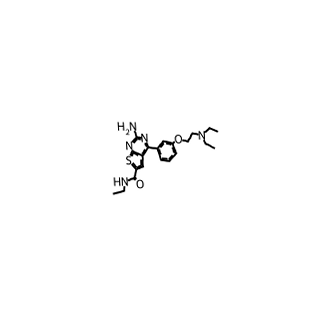 CCNC(=O)c1cc2c(-c3cccc(OCCN(CC)CC)c3)nc(N)nc2s1